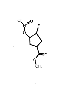 COC(=O)C1CC(F)C(O[N+](=O)[O-])C1